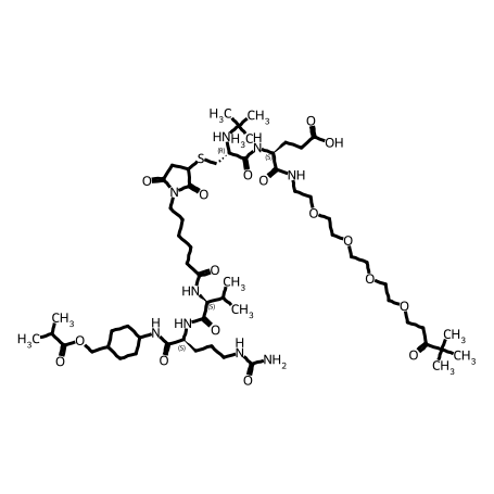 CC(C)C(=O)OCC1CCC(NC(=O)[C@H](CCCNC(N)=O)NC(=O)[C@@H](NC(=O)CCCCCN2C(=O)CC(SC[C@H](NC(C)(C)C)C(=O)N[C@@H](CCC(=O)O)C(=O)NCCOCCOCCOCCOCCC(=O)C(C)(C)C)C2=O)C(C)C)CC1